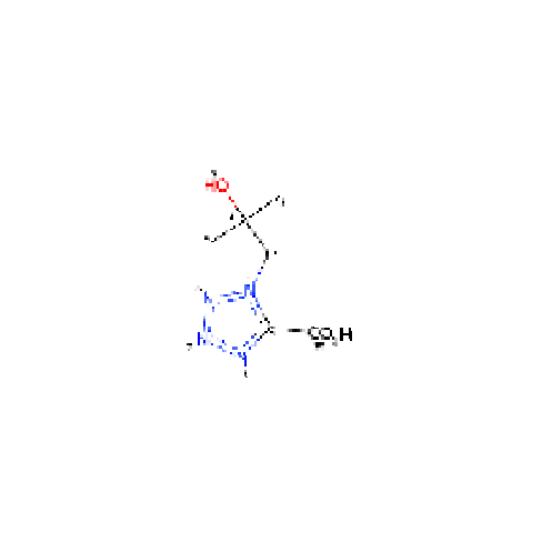 CC(C)(O)Cn1nnnc1C(=O)O